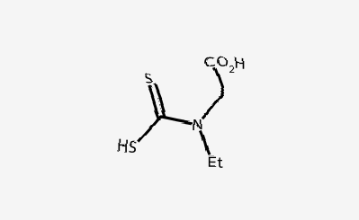 CCN(CC(=O)O)C(=S)S